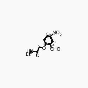 CCNC(=O)COc1ccc([N+](=O)[O-])cc1C=O